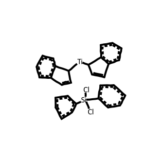 C1=C[CH]([Ti][CH]2C=Cc3ccccc32)c2ccccc21.Cl[Si](Cl)(c1ccccc1)c1ccccc1